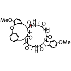 COc1ccc(C[C@H]2C(=O)N[C@@H](C)C(=O)N(C)[C@H]3CC4=CCC=C(C=C4)Oc4cc(ccc4OC)C[C@@H](C(=O)N[C@H](C)C(=O)N[C@@H](C)C(=O)N2C)N(C)C3=O)cc1